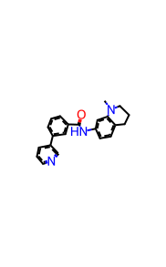 CN1CCCc2ccc(NC(=O)c3cccc(-c4cccnc4)c3)cc21